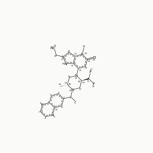 CC(c1ccc2nccnc2c1)N1C[C@H](C(F)F)N(c2cc(=O)n(C)c3cn(CC#N)nc23)C[C@H]1C